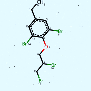 CCc1cc(Br)c(OCC(Br)CBr)c(Br)c1